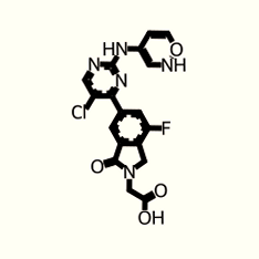 O=C(O)CN1Cc2c(F)cc(-c3nc(NC4=CNOC=C4)ncc3Cl)cc2C1=O